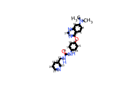 CN(C)c1ccc2c(Oc3ccc(NC(=O)NCc4cccnc4)cc3)ncnc2c1